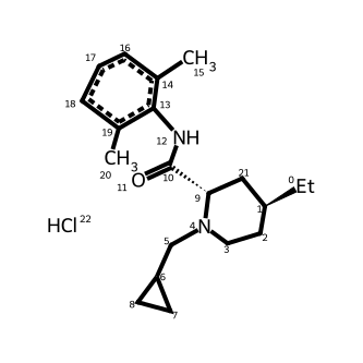 CC[C@H]1CCN(CC2CC2)[C@H](C(=O)Nc2c(C)cccc2C)C1.Cl